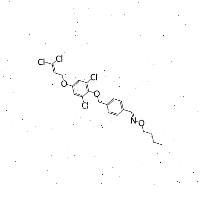 CCCCO/N=C/c1ccc(COc2c(Cl)cc(OCC=C(Cl)Cl)cc2Cl)cc1